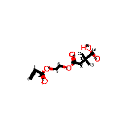 C=CC(=O)OCCOC(=O)CC(C)(C)C(=O)O